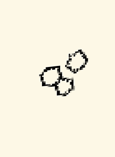 c1ccc2nnccc2c1.c1ccncc1